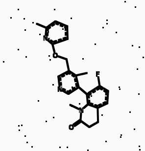 Cc1cccc(OCc2cncc(-c3c(F)ccc4c3N(C)C(=O)CC4)c2C)n1